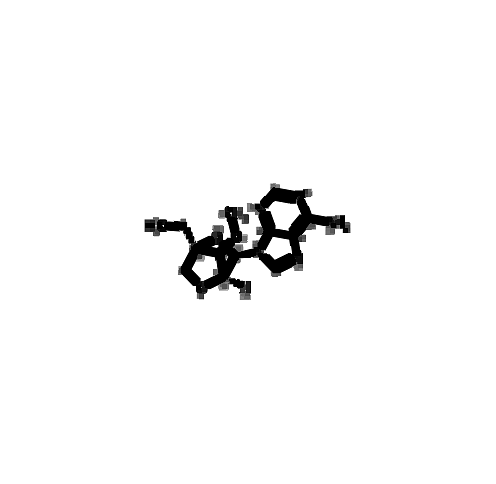 CC[C@@]12CO[C@@H](C1OC)[C@H](n1cnc3c(N)ncnc31)O2